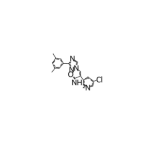 Cc1cc(C)cc(-c2ncn(C=C(C(N)=O)c3cncc(Cl)c3)n2)c1